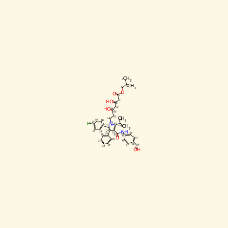 CC(C)COC(=O)C[C@H](O)C[C@H](O)CCn1c(-c2ccc(F)cc2)c(-c2ccccc2)c(C(=O)Nc2ccc(CO)cc2)c1C(C)C